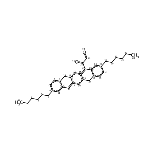 CCCCCCc1ccc2c(c1)C=c1cc3c(cc1C2)=C(C(=O)C=O)c1cc(CCCCCC)ccc1C3